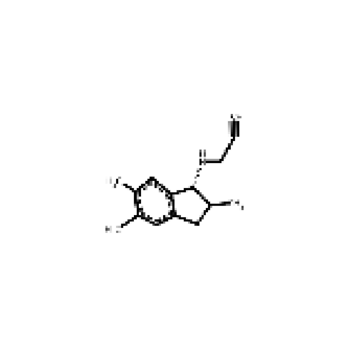 C#CCN[C@H]1c2cc(C)c(C)cc2CC1C